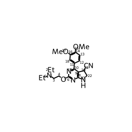 CCN(CC)CCOc1nc2c(c(-c3ccc(OC)c(OC)c3)n1)C(C#N)CN2